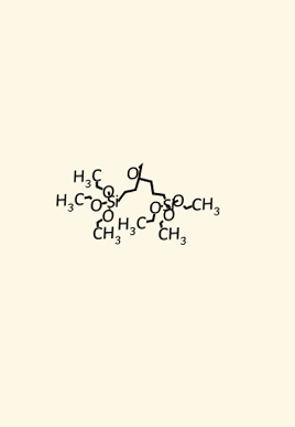 CCO[Si](CCCC1(CCC[Si](OCC)(OCC)OCC)CO1)(OCC)OCC